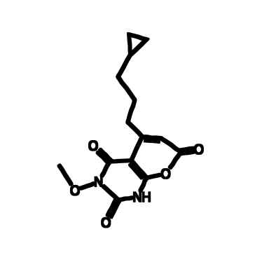 COn1c(=O)[nH]c2oc(=O)cc(CCCC3CC3)c2c1=O